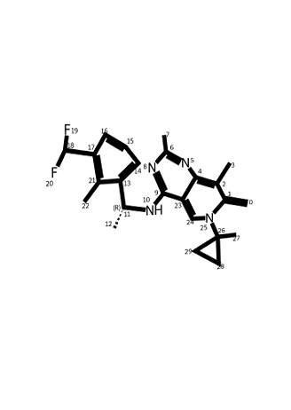 C=C1C(C)=c2nc(C)nc(N[C@H](C)c3cccc(C(F)F)c3C)c2=CN1C1(C)CC1